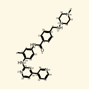 Cc1cc(NC(=O)c2ccc(CNN3CCN(C)CC3)cc2)ccc1Nc1nccc(-c2cccnc2)n1